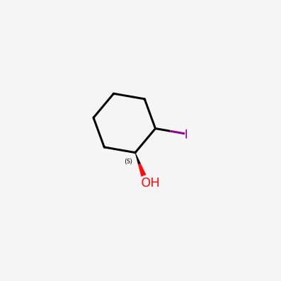 O[C@H]1CCCCC1I